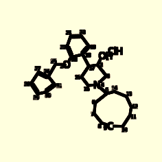 Cl.OC1CN(C2CCCCCCCCC2)CCC1c1ccccc1OCc1ccccc1